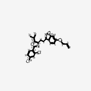 C=CCOc1ccc2c(CCc3nc(-c4ccc(Cl)cc4Cl)oc3C(C)C)noc2c1